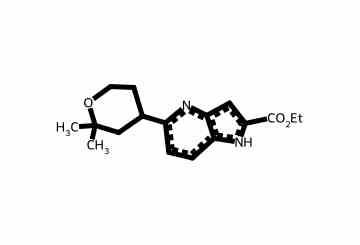 CCOC(=O)c1cc2nc(C3CCOC(C)(C)C3)ccc2[nH]1